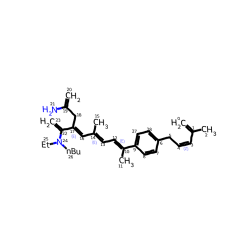 C=C(C)/C=C\Cc1ccc(/C(C)=C/C=C(C)/C=C(\CC(=C)N)C(=C)N(CC)CCCC)cc1